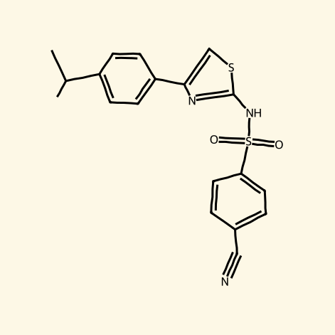 CC(C)c1ccc(-c2csc(NS(=O)(=O)c3ccc(C#N)cc3)n2)cc1